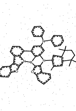 Cc1cc2c(cc1N1c3cc(N(c4ccccc4)c4ccccc4)cc4c3B(c3oc5ccccc5c31)n1c3oc5ccccc5c3c3cccc-4c31)C(C)(C)CCC2(C)C